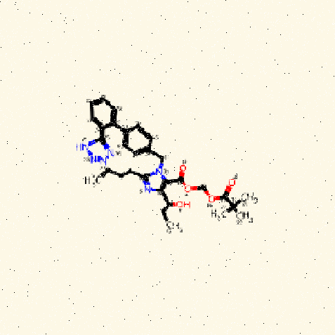 CCCCc1nc(C(O)CC)c(C(=O)OCOC(=O)C(C)(C)C)n1Cc1ccc(-c2ccccc2-c2nnn[nH]2)cc1